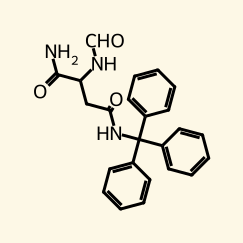 NC(=O)C(CC(=O)NC(c1ccccc1)(c1ccccc1)c1ccccc1)NC=O